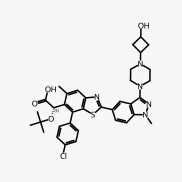 Cc1cc2nc(-c3ccc4c(c3)c(N3CCN(C5CC(O)C5)CC3)nn4C)sc2c(-c2ccc(Cl)cc2)c1[C@H](OC(C)(C)C)C(=O)O